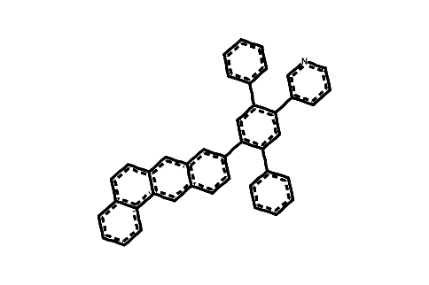 c1ccc(-c2cc(-c3ccc4cc5c(ccc6ccccc65)cc4c3)c(-c3ccccc3)cc2-c2cccnc2)cc1